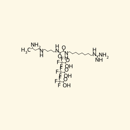 CC(N)CCNCCCCNC(=O)C(=O)NCCCCCCCCNC(=N)N.O=C(O)C(F)(F)F.O=C(O)C(F)(F)F.O=C(O)C(F)(F)F